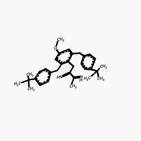 COc1cc(Cc2ccc(C(C)(C)C)cc2)c(CC(=N)C(C)=N)c(Cc2ccc(C(C)(C)C)cc2)c1